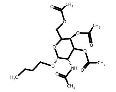 CCCCO[C@@H]1OC(COC(C)=O)[C@@H](OC(C)=O)C(OC(C)=O)[C@@H]1NC(C)=O